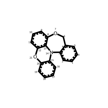 c1ccc2c(c1)COc1cccc3c1N2c1ccccc1O3